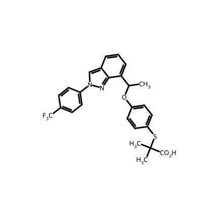 CC(Oc1ccc(SC(C)(C)C(=O)O)cc1)c1cccc2cn(-c3ccc(C(F)(F)F)cc3)nc12